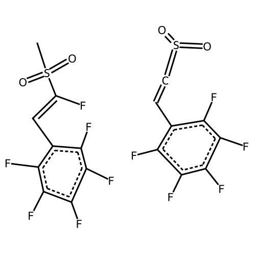 CS(=O)(=O)C(F)=Cc1c(F)c(F)c(F)c(F)c1F.O=S(=O)=C=Cc1c(F)c(F)c(F)c(F)c1F